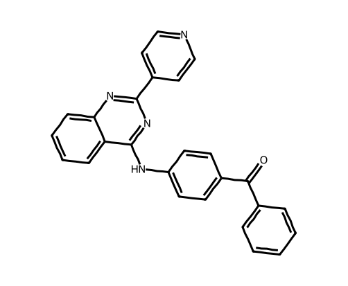 O=C(c1ccccc1)c1ccc(Nc2nc(-c3ccncc3)nc3ccccc23)cc1